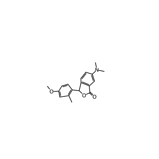 COc1ccc(C2OC(=O)c3cc(N(C)C)ccc32)c(C)c1